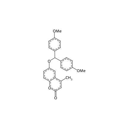 COc1ccc(C(Oc2ccc3oc(=O)cc(C)c3c2)c2ccc(OC)cc2)cc1